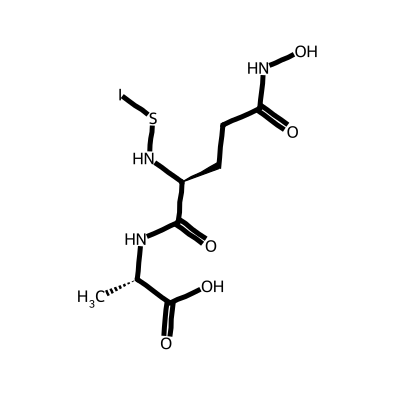 C[C@H](NC(=O)[C@H](CCC(=O)NO)NSI)C(=O)O